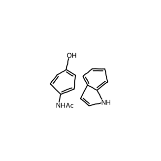 CC(=O)Nc1ccc(O)cc1.c1ccc2[nH]ccc2c1